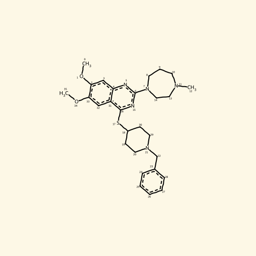 COc1cc2nc(N3CCCN(C)CC3)nc(SC3CCN(Cc4ccccc4)CC3)c2cc1OC